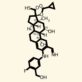 C[C@]12CC(C=N)=C(Nc3ccc(F)c(CO)c3)C=C1CC[C@@H]1[C@@H]2[C@@H](O)C[C@@]2(C)[C@H]1CC[C@]2(OC(=O)C1CC1)C(=O)S